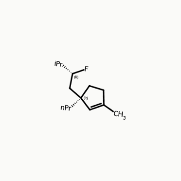 CCC[C@@]1(C[C@@H](F)C(C)C)C=C(C)CC1